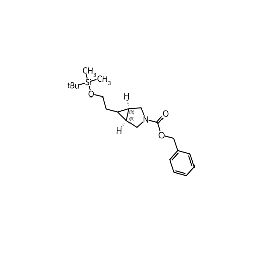 CC(C)(C)[Si](C)(C)OCCC1[C@H]2CN(C(=O)OCc3ccccc3)C[C@@H]12